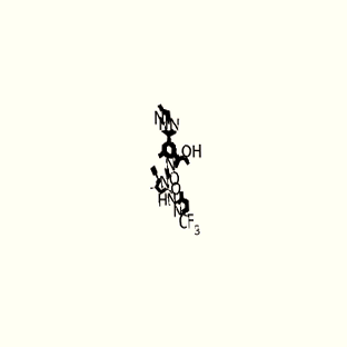 C#C[C@@H]1[C@@H](C)C[C@@H](C(=O)Nc2nc(C(F)(F)F)ccc2C)N1C(=O)Cn1cc(C(C)O)c2cc(-c3cnc4cc(C)nn4c3)cc(C)c21